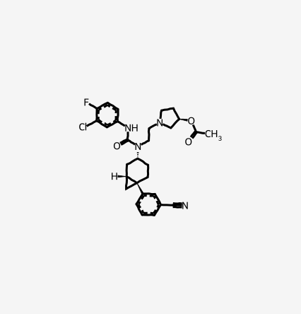 CC(=O)O[C@@H]1CCN(CCN(C(=O)Nc2ccc(F)c(Cl)c2)[C@@H]2CC[C@]3(c4cccc(C#N)c4)C[C@@H]3C2)C1